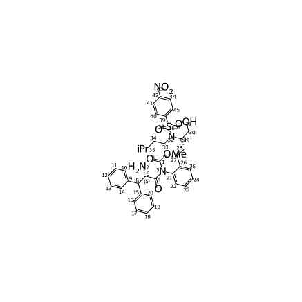 COC(=O)N(C(=O)[C@@H](N)C(c1ccccc1)c1ccccc1)c1ccccc1CC[C@@H](CO)N(CCC(C)C)S(=O)(=O)c1ccc([N+](=O)[O-])cc1